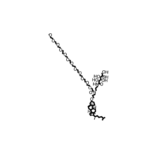 COCCOCCOCCOCCOCCOCCOCCOCCOCCOCCOCCOCC(=O)N(CCCNC(=O)[C@H](O)[C@@H](O)[C@H](O)[C@H](O)CO)CCCO[C@H]1CC[C@@]2(C)C(=CC[C@H]3[C@@H]4CC[C@H]([C@H](C)CCCC(C)C)[C@@]4(C)CC[C@@H]32)C1